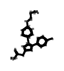 Cc1ccc(-c2cc(CC(N)=O)nn2-c2ccc(SOON)cc2)cc1